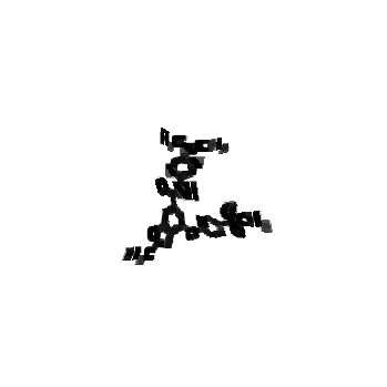 Cc1cc2c(Oc3ccc(S(C)(=O)=O)cn3)cc(C(=O)Nc3cnc(N(C)C)cn3)cc2o1